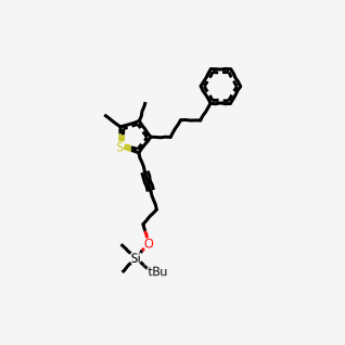 Cc1sc(C#CCCO[Si](C)(C)C(C)(C)C)c(CCCc2ccccc2)c1C